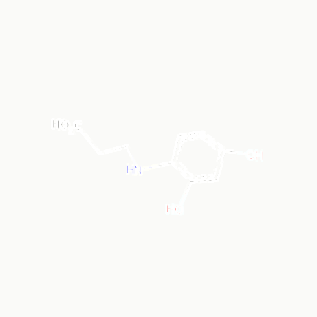 O=C(O)CCNc1ccc(O)cc1O